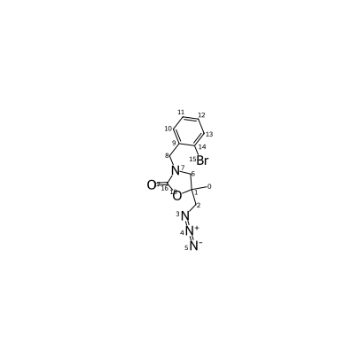 CC1(CN=[N+]=[N-])CN(Cc2ccccc2Br)C(=O)O1